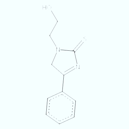 OCCN1CC(c2ccccc2)=NC1=S